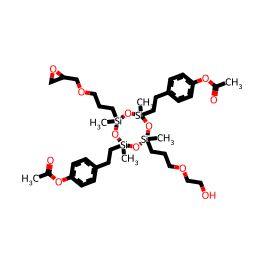 CC(=O)Oc1ccc(CC[Si]2(C)O[Si](C)(CCCOCCO)O[Si](C)(CCc3ccc(OC(C)=O)cc3)O[Si](C)(CCCOCC3CO3)O2)cc1